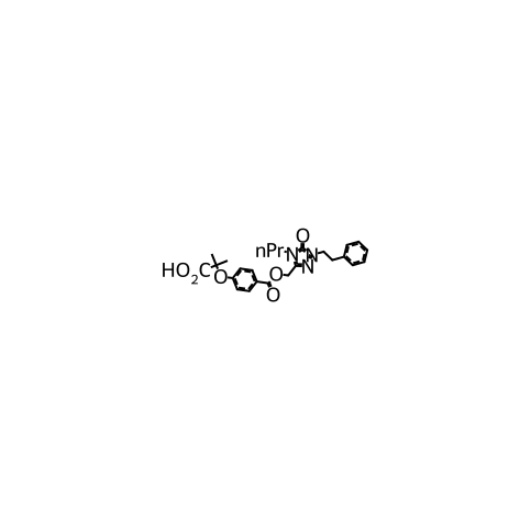 CCCn1c(COC(=O)c2ccc(OC(C)(C)C(=O)O)cc2)nn(CCc2ccccc2)c1=O